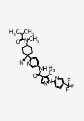 Cc1c(C(=O)Nc2ccc(C3(C#N)CCC(N(C)C(=O)C(C)C)CC3)nc2)cnn1-c1ccc(C(F)(F)F)cn1